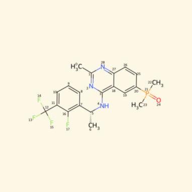 Cc1nc(N[C@H](C)c2cccc(C(F)(F)F)c2F)c2cc(P(C)(C)=O)ccc2n1